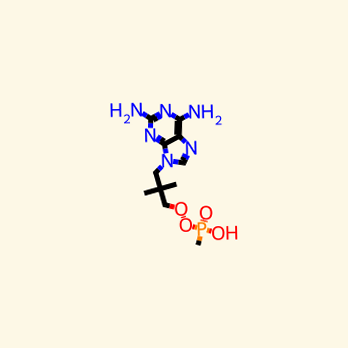 CC(C)(COOP(C)(=O)O)Cn1cnc2c(N)nc(N)nc21